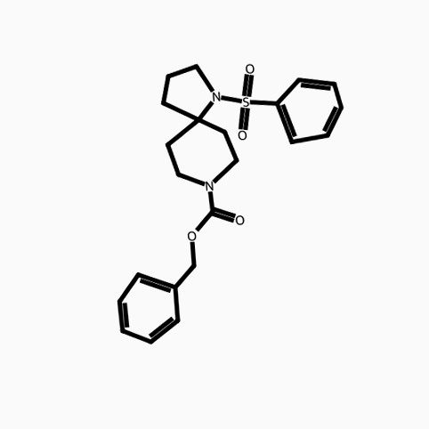 O=C(OCc1ccccc1)N1CCC2(CCCN2S(=O)(=O)c2ccccc2)CC1